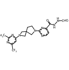 Cc1nc(N2CC3(CCN(c4nccc(C(=O)NNC=O)n4)C3)C2)cc(C(F)(F)F)n1